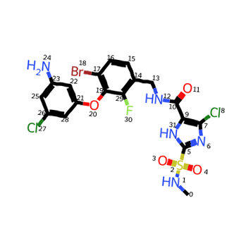 CNS(=O)(=O)c1nc(Cl)c(C(=O)NCc2ccc(Br)c(Oc3cc(N)cc(Cl)c3)c2F)[nH]1